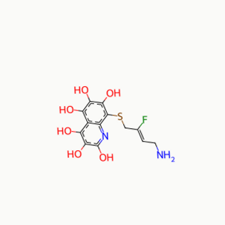 NC/C=C(\F)CSc1c(O)c(O)c(O)c2c(O)c(O)c(O)nc12